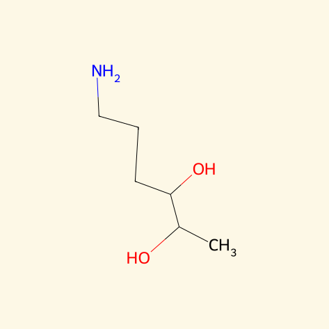 CC(O)C(O)CCCN